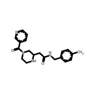 Cc1ccc(CNC(=O)CC2CN(C(=O)c3cccnc3)CCN2)cc1